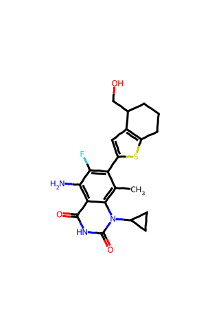 Cc1c(-c2cc3c(s2)CCCC3CO)c(F)c(N)c2c(=O)[nH]c(=O)n(C3CC3)c12